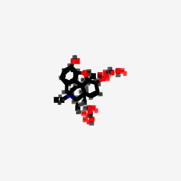 CN1CC[C@]23c4c5ccc(O)c4O[C@H]2[C@@H](O)C=C[C@H]3[C@H]1C5.O.O.O.O.O.O